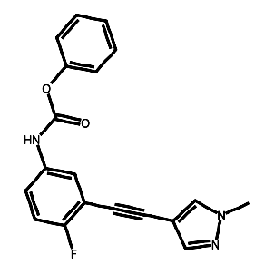 Cn1cc(C#Cc2cc(NC(=O)Oc3ccccc3)ccc2F)cn1